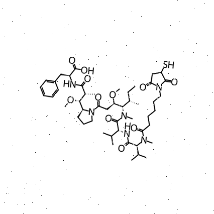 CC[C@H](C)[C@@H]([C@@H](CC(=O)N1CCC[C@H]1[C@H](OC)[C@@H](C)C(=O)N[C@@H](Cc1ccccc1)C(=O)O)OC)N(C)C(=O)[C@H](NC(=O)[C@H](C(C)C)N(C)C(=O)CCCCCN1C(=O)CC(S)C1=O)C(C)C